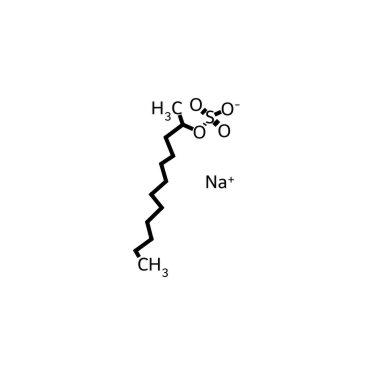 CCCCCCCCCCC(C)OS(=O)(=O)[O-].[Na+]